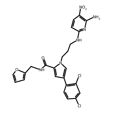 Nc1nc(NCCCn2cc(-c3ccc(Cl)cc3Cl)cc2C(=O)NCc2ccco2)ccc1[N+](=O)[O-]